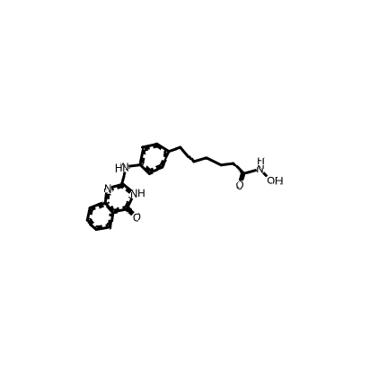 O=C(CCCCCc1ccc(Nc2nc3ccccc3c(=O)[nH]2)cc1)NO